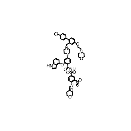 O=C(NS(=O)(=O)c1ccc(NCC2CCOCC2)c([N+](=O)[O-])c1)c1ccc(N2CCN(Cc3cc(OCCN4CCOCC4)ccc3-c3ccc(Cl)cc3)CC2)cc1Oc1cccc2[nH]ccc12